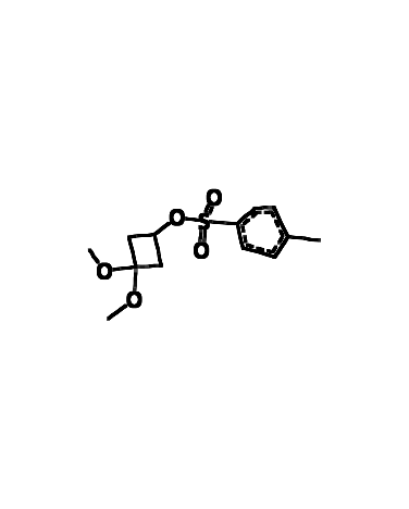 COC1(OC)CC(OS(=O)(=O)c2ccc(C)cc2)C1